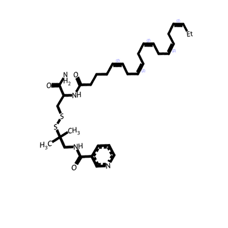 CC/C=C\C/C=C\C/C=C\C/C=C\C/C=C\CCCC(=O)NC(CSSC(C)(C)CNC(=O)c1cccnc1)C(N)=O